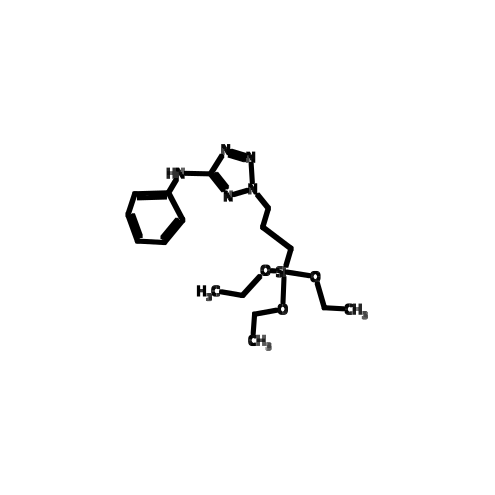 CCO[Si](CCCn1nnc(Nc2ccccc2)n1)(OCC)OCC